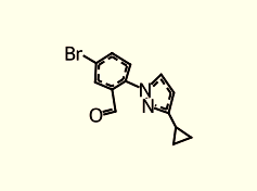 O=Cc1cc(Br)ccc1-n1ccc(C2CC2)n1